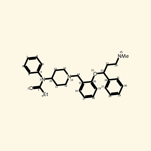 CCC(=O)N(c1ccccc1)C1CCN(Cc2ccccc2OC(CCNC)c2ccccc2)CC1